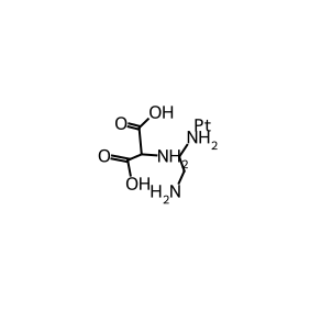 NC(C(=O)O)C(=O)O.NCCN.[Pt]